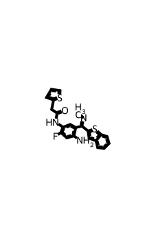 C/N=C(/c1cc2ccccc2s1)c1cc(NC(=O)Cc2cccs2)c(F)cc1N